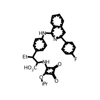 CCC(c1ccc(Nc2nc(-c3ccc(F)cc3)cc3ccccc23)cc1)C(Nc1c(OC(C)C)c(=O)c1=O)C(=O)O